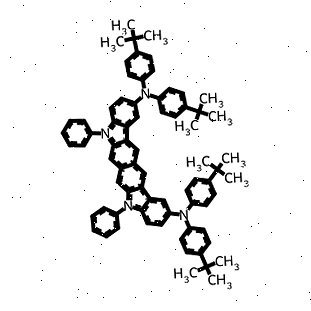 CC(C)(C)c1ccc(N(c2ccc(C(C)(C)C)cc2)c2ccc3c(c2)c2cc4cc5c6cc(N(c7ccc(C(C)(C)C)cc7)c7ccc(C(C)(C)C)cc7)ccc6n(-c6ccccc6)c5cc4cc2n3-c2ccccc2)cc1